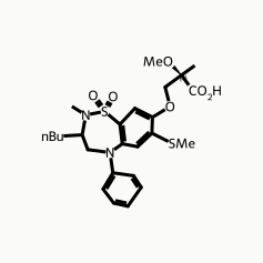 CCCCC1CN(c2ccccc2)c2cc(SC)c(OC[C@@](C)(OC)C(=O)O)cc2S(=O)(=O)N1C